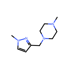 CN1CCN(Cc2ccn(C)n2)CC1